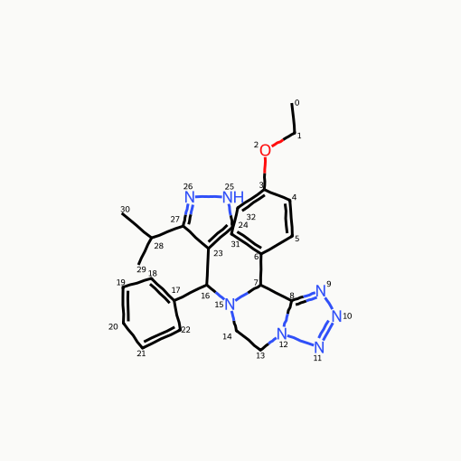 CCOc1ccc(C2c3nnnn3CCN2C(c2ccccc2)c2c[nH]nc2C(C)C)cc1